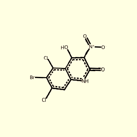 O=c1[nH]c2cc(Cl)c(Br)c(Cl)c2c(O)c1[N+](=O)[O-]